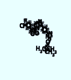 C[Si](C)(C)CCOCn1cnc(-c2ccc(-c3cnn4ccc(N5C(=O)OCC5c5ccc(F)c(Cl)c5)nc34)cc2)n1